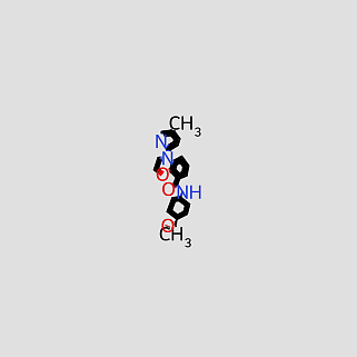 COC[C@H]1CC[C@@H](NC(=O)c2cccc3c2OCCN3c2ccc(C)cn2)CC1